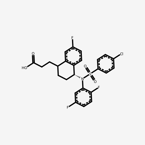 O=C(O)CCC1CC[C@@H](N(c2cc(F)ccc2F)S(=O)(=O)c2ccc(Cl)cc2)c2ccc(F)cc21